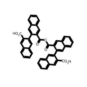 O=C(O)c1cc2ccccc2cc1-c1cc2ccccc2cc1C(=O)OC(=O)c1cc2ccccc2cc1-c1cc2ccccc2cc1C(=O)O